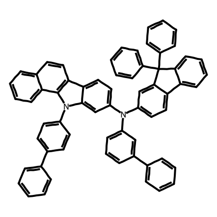 c1ccc(-c2ccc(-n3c4cc(N(c5cccc(-c6ccccc6)c5)c5ccc6c(c5)C(c5ccccc5)(c5ccccc5)c5ccccc5-6)ccc4c4ccc5ccccc5c43)cc2)cc1